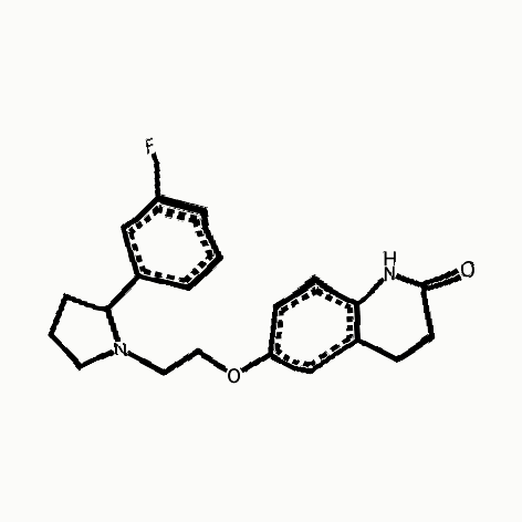 O=C1CCc2cc(OCCN3CCCC3c3cccc(F)c3)ccc2N1